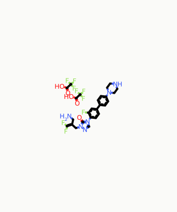 NCC(Cn1ncn(-c2ccc(-c3ccc(N4CCNCC4)cc3)cc2F)c1=O)=C(F)F.O=C(O)C(F)(F)F.O=C(O)C(F)(F)F